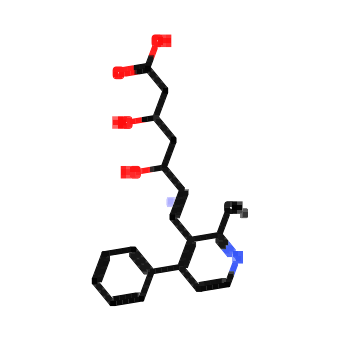 Cc1nccc(-c2ccccc2)c1/C=C/C(O)CC(O)CC(=O)O